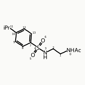 CC(=O)NCCNS(=O)(=O)c1ccc(C(C)C)cc1